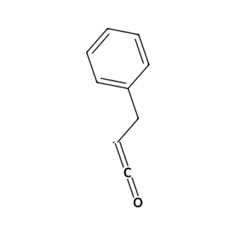 O=C=[C]Cc1ccccc1